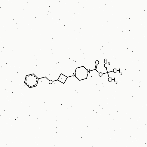 CC(C)(C)OC(=O)N1CCN(C2CC(OCc3ccccc3)C2)CC1